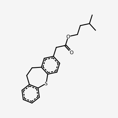 CC(C)CCOC(=O)Cc1ccc2c(c1)CCc1ccccc1S2